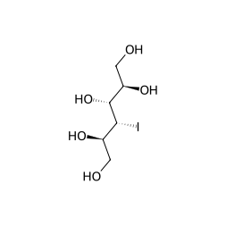 OC[C@@H](O)[C@@H](O)[C@H](I)[C@H](O)CO